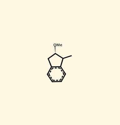 CO[C@H]1Cc2ccccc2C1C